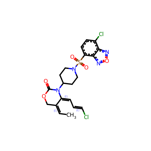 C/C=C1/COC(=O)N(C2CCN(S(=O)(=O)c3ccc(Cl)c4nonc34)CC2)/C1=C/C=C/Cl